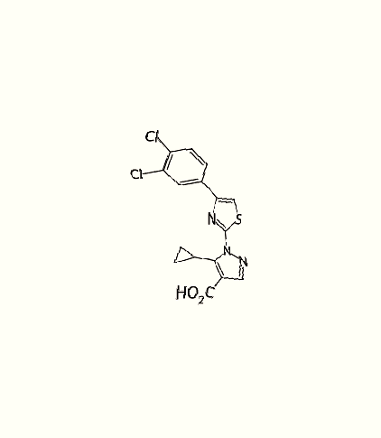 O=C(O)c1cnn(-c2nc(-c3ccc(Cl)c(Cl)c3)cs2)c1C1CC1